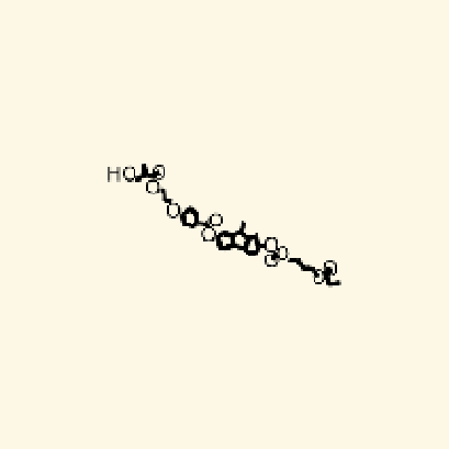 C=CC(=O)OCCCCOC(=O)Oc1ccc2c(c1)C(C)c1cc(OC(=O)c3ccc(OCCCOC(=O)C(=C)CO)cc3)ccc1-2